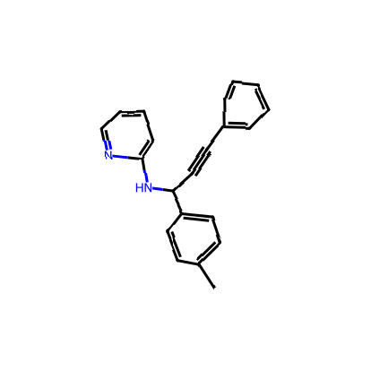 Cc1ccc(C(C#Cc2ccccc2)Nc2ccccn2)cc1